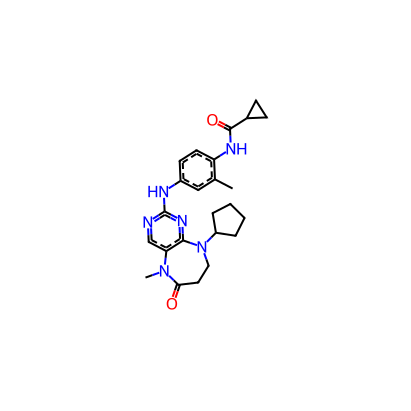 Cc1cc(Nc2ncc3c(n2)N(C2CCCC2)CCC(=O)N3C)ccc1NC(=O)C1CC1